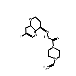 C=CN1CCN(C(=S)N/N=C2/CCOC3CC(F)=CN=C23)CC1